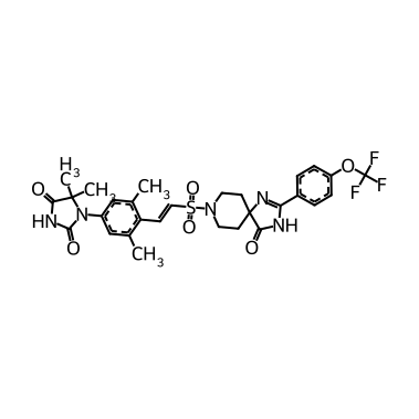 Cc1cc(N2C(=O)NC(=O)C2(C)C)cc(C)c1/C=C/S(=O)(=O)N1CCC2(CC1)N=C(c1ccc(OC(F)(F)F)cc1)NC2=O